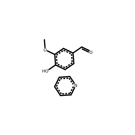 COc1cc(C=O)ccc1O.c1ccncc1